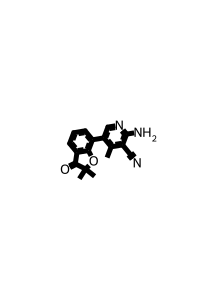 Cc1c(-c2cccc3c2OC(C)(C)C3=O)cnc(N)c1C#N